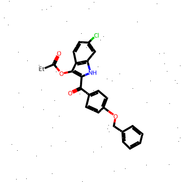 CCC(=O)Oc1c(C(=O)c2ccc(OCc3ccccc3)cc2)[nH]c2cc(Cl)ccc12